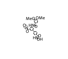 COc1ccc(C(=O)Nc2cc(C(=O)N3CCOCC3)cc(-c3ccc(C(=O)NO)cc3)c2)cc1OC